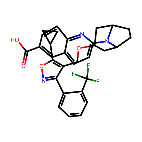 O=C(O)c1ccc2nc(N3C4CCC3CC(OCc3c(-c5ccccc5C(F)(F)F)noc3C3CC3)C4)ccc2c1